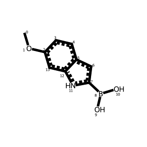 COc1ccc2cc(B(O)O)[nH]c2c1